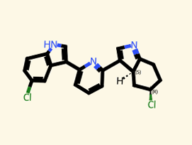 Clc1ccc2[nH]cc(-c3cccc(C4=CN=C5CC[C@@H](Cl)C[C@@H]45)n3)c2c1